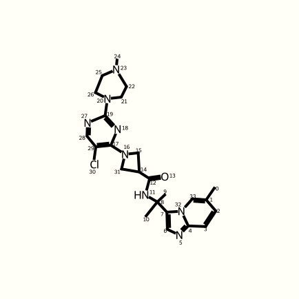 Cc1ccc2ncc(C(C)(C)NC(=O)C3CN(c4nc(N5CCN(C)CC5)ncc4Cl)C3)n2c1